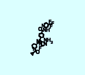 Nc1ncc(F)n2c([C@@H]3CCCN(C(=O)C4CC4)C3)nc(-c3ccc(C(=O)Nc4cc(C(F)(F)F)ccn4)cc3)c12